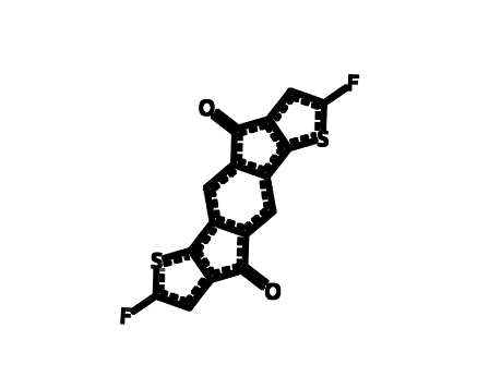 O=c1c2cc3c(cc2c2sc(F)cc12)c(=O)c1cc(F)sc13